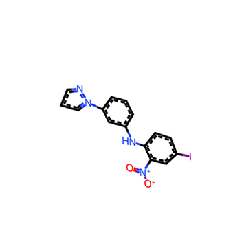 O=[N+]([O-])c1cc(I)ccc1Nc1cccc(-n2cccn2)c1